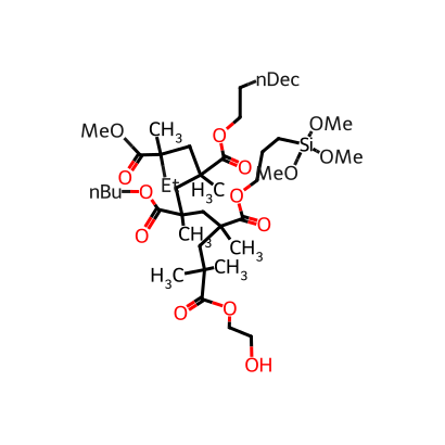 CCCCCCCCCCCCOC(=O)C(C)(CC(C)(CC)C(=O)OC)CC(C)(CC(C)(CC(C)(C)C(=O)OCCO)C(=O)OCCC[Si](OC)(OC)OC)C(=O)OCCCC